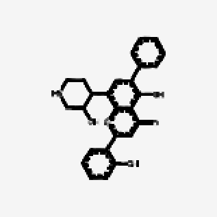 O=c1cc(-c2ccccc2O)oc2c(C3CCNCC3O)cc(-c3ccccc3)c(O)c12